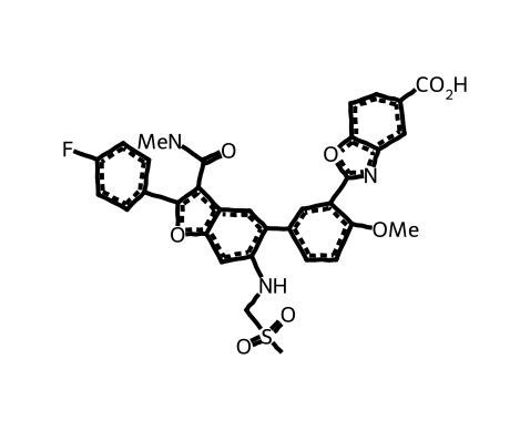 CNC(=O)c1c(-c2ccc(F)cc2)oc2cc(NCS(C)(=O)=O)c(-c3ccc(OC)c(-c4nc5cc(C(=O)O)ccc5o4)c3)cc12